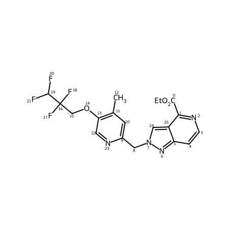 CCOC(=O)c1nccc2nn(Cc3cc(C)c(OCC(F)(F)C(F)F)cn3)cc12